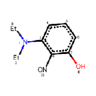 CCN(CC)c1cccc(O)c1N=O